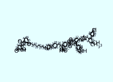 CC1(C)CCC(CN2CCN(c3ccc(C(=O)NS(=O)(=O)c4ccc(NCC5CCC(N6CCN(CCCCCCCCOc7cccc8c7CN(C7CCC(=O)NC7=O)C8=O)CC6)CC5)c([N+](=O)[O-])c4)c(Oc4cnc5[nH]ccc5c4)c3)CC2)=C(c2ccc(Cl)cc2)C1